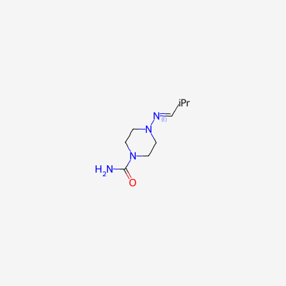 CC(C)/C=N/N1CCN(C(N)=O)CC1